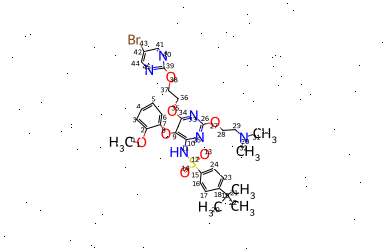 COc1ccccc1Oc1c(NS(=O)(=O)c2ccc(C(C)(C)C)cc2)nc(OCCN(C)C)nc1OCCOc1ncc(Br)cn1